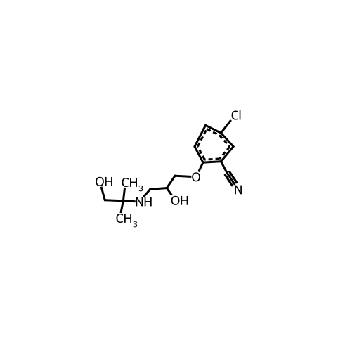 CC(C)(CO)NCC(O)COc1ccc(Cl)cc1C#N